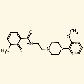 COc1ccccc1N1CCN(CCNC(=O)C2=CC=CC(C)C2=S)CC1